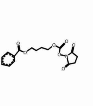 O=C(OCCCCOC(=O)c1ccccc1)ON1C(=O)CCC1=O